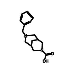 O=C(O)N1CC2CC(CN(Cc3ccccc3)C2)C1